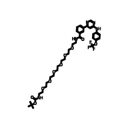 CC(C)(C)OC(=O)NCCOCCOCCOCCOCCOCCOCCNC(=O)c1cccc(-c2cc(Nc3ccc(OC(F)(F)F)cc3)ncn2)c1